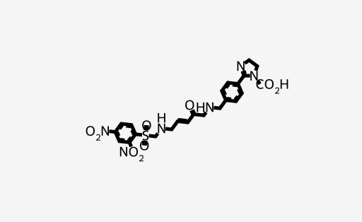 O=C(C=CCNCS(=O)(=O)c1ccc([N+](=O)[O-])cc1[N+](=O)[O-])CNCc1ccc(C2=NCCN2C(=O)O)cc1